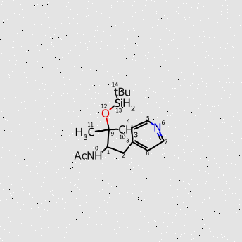 CC(=O)NC(Cc1ccncc1)C(C)(C)O[SiH2]C(C)(C)C